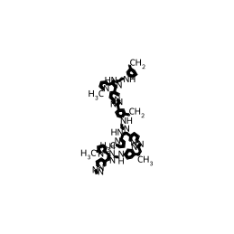 C=Cc1cccc(NCc2nc(-c3ccc4nc(-c5ccc(NCc6nc(-c7ccc8nc(CC(C)c9ccc(NCc%10nc(-c%11ccc%12ncnn%12c%11)c(-c%11cccc(C)n%11)[nH]%10)cc9)nn8c7)c(-c7cccc(C)n7)[nH]6)c(C=C)c5)nn4c3)c(-c3cccc(C)n3)[nH]2)c1